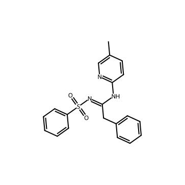 Cc1ccc(NC(Cc2ccccc2)=NS(=O)(=O)c2ccccc2)nc1